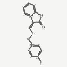 O=C1Nc2ccccc2C1=CSCc1ccc(F)cc1